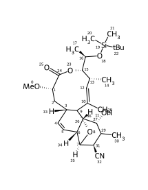 CO[C@H]1C[C@H]2C=C[C@H]3[C@H]4O[C@]2(/C(C)=C/[C@@H](C)[C@@H]([C@@H](C)O[Si](C)(C)C(C)(C)C)OC1=O)[C@@H]3[C@H](O)C(C)[C@H]4C#N